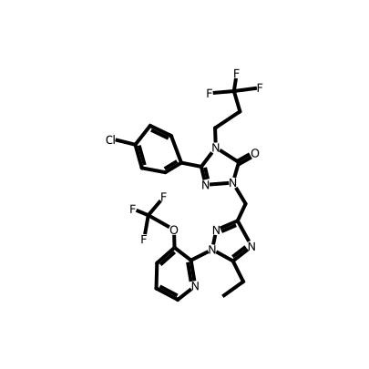 CCc1nc(Cn2nc(-c3ccc(Cl)cc3)n(CCC(F)(F)F)c2=O)nn1-c1ncccc1OC(F)(F)F